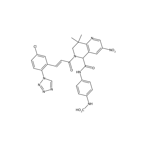 CC1(C)CN(C(=O)C=Cc2cc(Cl)ccc2-n2cnnn2)C(C(=O)Nc2ccc(NC(=O)O)cc2)c2cc([N+](=O)[O-])cnc21